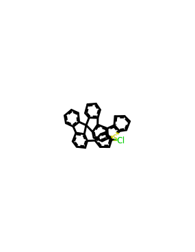 Clc1ccc(-c2cccc3c2C2(c4ccccc4-3)c3ccccc3-c3c2ccc2sc4ccccc4c32)cc1